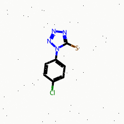 [S]c1nnnn1-c1ccc(Cl)cc1